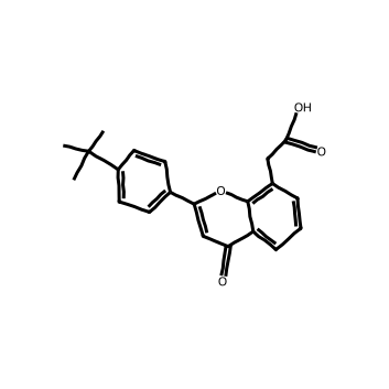 CC(C)(C)c1ccc(-c2cc(=O)c3cccc(CC(=O)O)c3o2)cc1